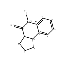 O=C1C2CCCC2c2ccccc2N1I